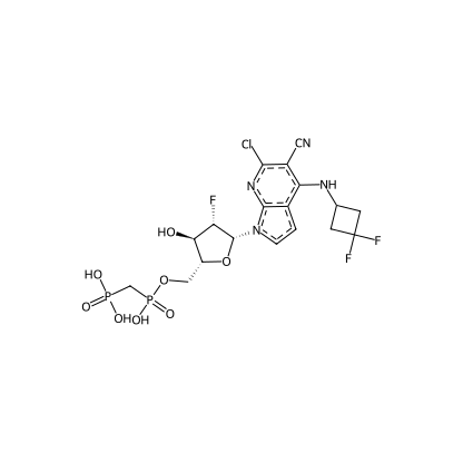 N#Cc1c(Cl)nc2c(ccn2[C@@H]2O[C@H](COP(=O)(O)CP(=O)(O)O)[C@@H](O)[C@@H]2F)c1NC1CC(F)(F)C1